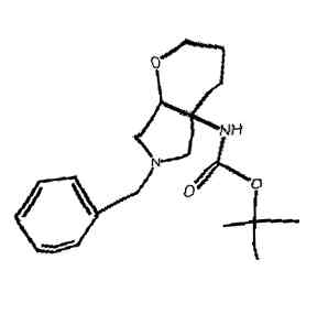 CC(C)(C)OC(=O)NC12CCCOC1CN(Cc1ccccc1)C2